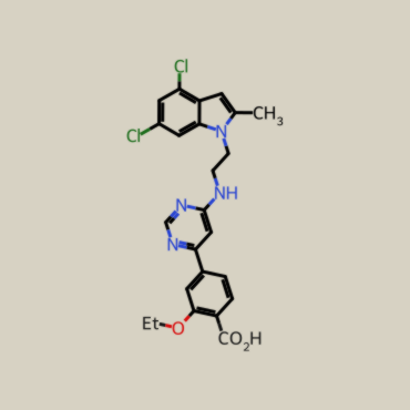 CCOc1cc(-c2cc(NCCn3c(C)cc4c(Cl)cc(Cl)cc43)ncn2)ccc1C(=O)O